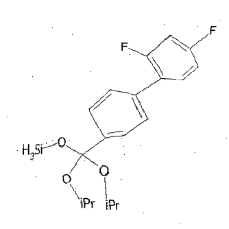 CC(C)OC(O[SiH3])(OC(C)C)c1ccc(-c2ccc(F)cc2F)cc1